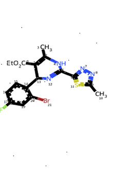 CCOC(=O)C1=C(C)NC(c2nnc(C)s2)=NC1c1ccc(F)cc1Br